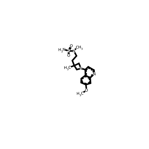 COc1ccc2c(N3CC(C)(CCN(C)S(N)(=O)=O)C3)ccnc2c1